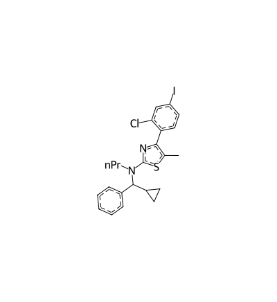 CCCN(c1nc(-c2ccc(I)cc2Cl)c(C)s1)C(c1ccccc1)C1CC1